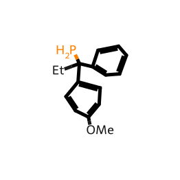 CCC(P)(c1ccccc1)c1ccc(OC)cc1